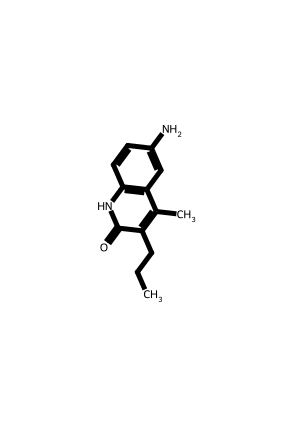 CCCc1c(C)c2cc(N)ccc2[nH]c1=O